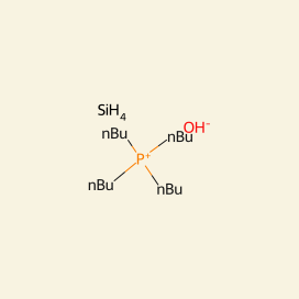 CCCC[P+](CCCC)(CCCC)CCCC.[OH-].[SiH4]